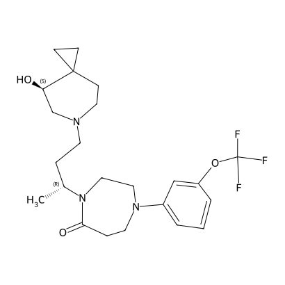 C[C@H](CCN1CCC2(CC2)[C@H](O)C1)N1CCN(c2cccc(OC(F)(F)F)c2)CCC1=O